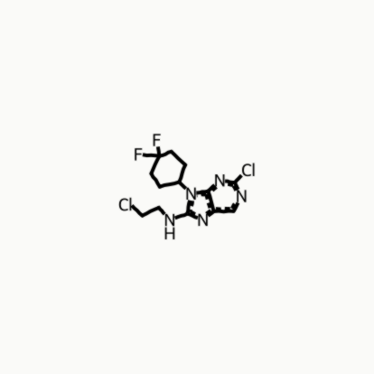 FC1(F)CCC(n2c(NCCCl)nc3cnc(Cl)nc32)CC1